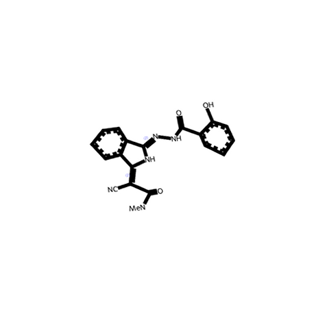 CNC(=O)/C(C#N)=C1\N/C(=N\NC(=O)c2ccccc2O)c2ccccc21